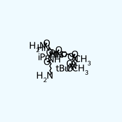 CC(C)C(NC(=O)CCCCCN)C(=O)N[C@H](CCCNC(N)=O)C(=O)Nc1ccc(COC(=O)N(C)CCN(C)C(=O)OC(C)(C)C)cc1